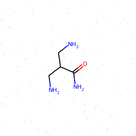 NCC(CN)C(N)=O